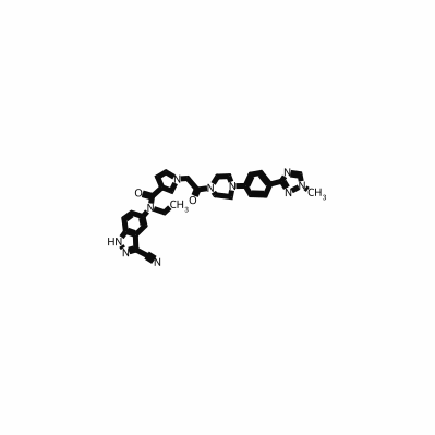 CCN(C(=O)C1CCN(CC(=O)N2CCN(c3ccc(-c4ncn(C)n4)cc3)CC2)C1)c1ccc2[nH]nc(C#N)c2c1